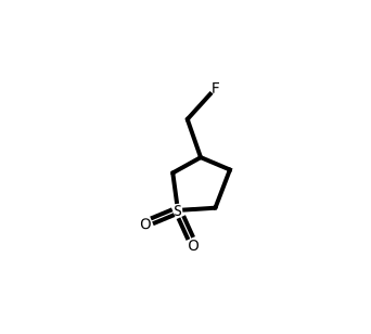 O=S1(=O)CCC(CF)C1